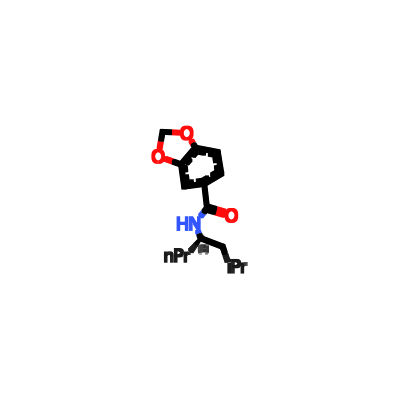 CCC[C@H](CC(C)C)NC(=O)c1ccc2c(c1)OCO2